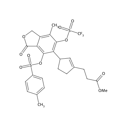 COC(=O)CCC1=CC(c2c(OS(=O)(=O)C(F)(F)F)c(C)c3c(c2OS(=O)(=O)c2ccc(C)cc2)C(=O)OC3)CC1